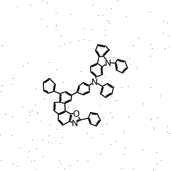 c1ccc(-c2nc3ccc4ccc5c(-c6ccccc6)cc(-c6ccc(N(c7ccccc7)c7ccc8c9ccccc9n(-c9ccccc9)c8c7)cc6)cc5c4c3o2)cc1